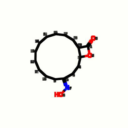 O=C1OC2CCC(=NO)CCCCCCCCCCC12